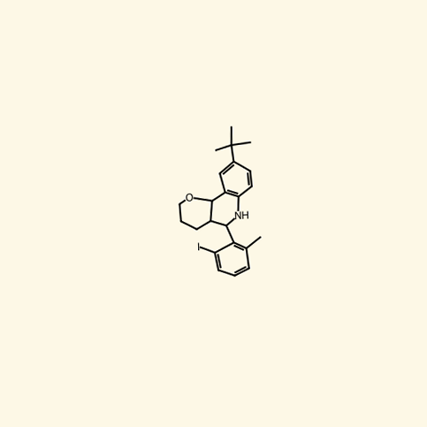 Cc1cccc(I)c1C1Nc2ccc(C(C)(C)C)cc2C2OCCCC12